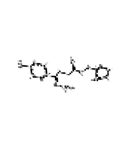 CO/N=C(\CCC(=O)OCc1ccco1)c1ccc(Cl)cc1